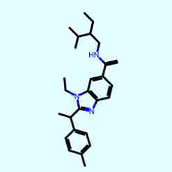 C=C(NCC(CC)C(C)C)c1ccc2nc(C(C)c3ccc(C)cc3)n(CC)c2c1